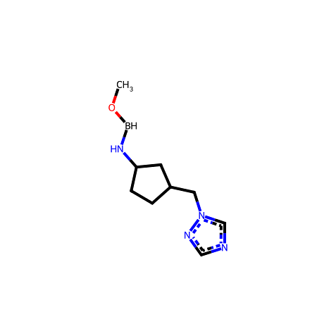 COBNC1CCC(Cn2cncn2)C1